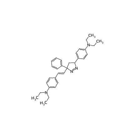 CCN(CC)c1ccc(C=CC2(c3ccccc3)CC(c3ccc(N(CC)CC)cc3)N=N2)cc1